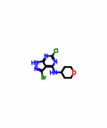 Clc1nc(NC2CCOCC2)c2c(Br)n[nH]c2n1